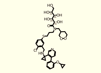 O=C([C@@H](O)[C@@H](O)[C@H](O)[C@@H](O)CO)N(CCCSc1ccc(Cl)c(CNC2(c3cnccc3-c3ccccc3OC3CC3)CC2)c1)CC1CCOOC1